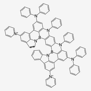 c1ccc(N(c2ccccc2)c2cc3c4c(c2)N(c2ccccc2)c2cc5c(cc2B4n2c4ccccc4c4cc(-[n+]6ccccc6)cc-3c42)B2c3c(cc(N(c4ccccc4)c4ccccc4)cc3N5c3ccccc3)-c3cc(-[n+]4ccccc4)cc4c5ccccc5n2c34)cc1